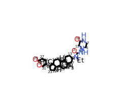 CCN(C(=O)NN1CCNC(=O)C1)[C@H]1CC[C@@]2(C)[C@H](CC[C@H]3C4=CC[C@H](c5ccc(=O)oc5)[C@@]4(C)CC[C@@H]32)C1